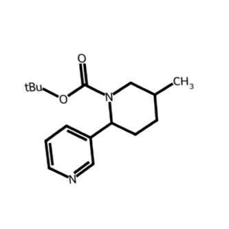 CC1CCC(c2cccnc2)N(C(=O)OC(C)(C)C)C1